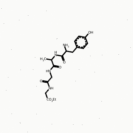 CCOC(=O)CNC(=O)CNC(=O)C(C)NC(=O)C(N)Cc1ccc(O)cc1